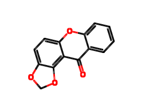 O=c1c2ccccc2oc2ccc3c(c12)OCO3